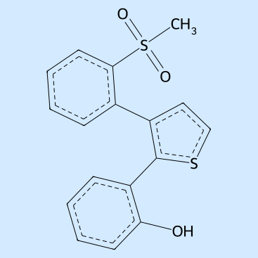 CS(=O)(=O)c1ccccc1-c1ccsc1-c1ccccc1O